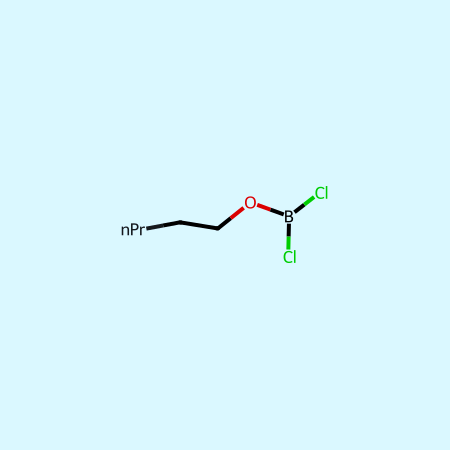 CCCCCOB(Cl)Cl